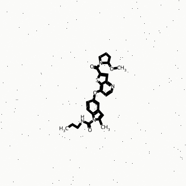 CCCNC(=O)n1c(C)cc2cc(Oc3ccnc4cc(C(=O)N5CCCC5OC)sc34)ccc21